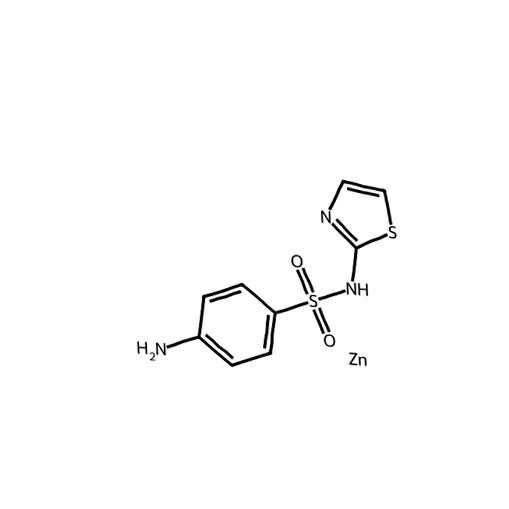 Nc1ccc(S(=O)(=O)Nc2nccs2)cc1.[Zn]